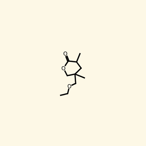 CCOCC1(C)COC(=O)C(C)C1